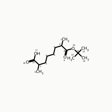 CC(CCCCC(C)C(=O)OC(C)(C)C)C(=O)O